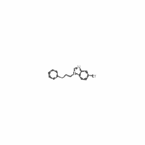 Brc1ccc2c(c1)ncn2CCCc1ccccc1